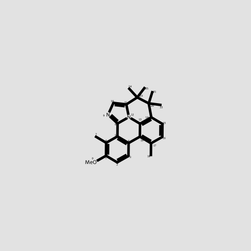 COc1ccc2c(c1C)c1ncc3n1c1c(ccc(C)c21)C(C)(C)C3(C)C